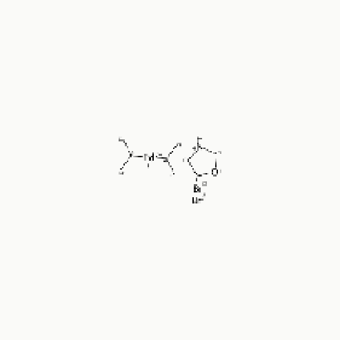 C1COCN1.C[CH](C)[Pd+2][CH](C)C.[Br-].[Br-]